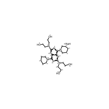 OCCN(CCO)c1nc(N2CCCCC2)c2nc(N(CCO)CCO)nc(N3CCCCC3)c2n1.[NaH]